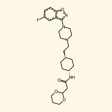 O=C(CC1OCCCO1)N[C@H]1CC[C@H](CCN2CCN(c3noc4ccc(F)cc34)CC2)CC1